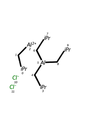 CC(C)[CH2][Al+2].CC(C)[CH2][Al]([CH2]C(C)C)[CH2]C(C)C.[Cl-].[Cl-]